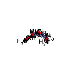 C/C=C\C[C@@H](C/C=C\NC(=O)[C@@H](NC(=O)\C=C/C=C\C(C)=C\[C@H](C)[C@@H]1CC=C(OC)C(=O)O1)C(C)(C)C)OC(=O)NCCCNC(=O)CCSSC